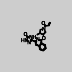 C=CC(=O)N1CC(C)[C@@H](Oc2nc(-c3n[nH]c(=O)[nH]3)cc3ccccc23)C1